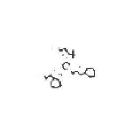 COC(=O)C(O)C1(NC(=O)[C@@H]2C[C@H](n3nncc3C(C)(C)O)CN2C(=O)[C@H](N)CC2CCCCC2)CCCCC1.Cl